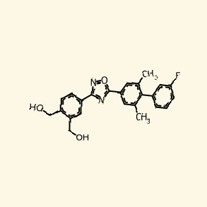 Cc1cc(-c2nc(-c3ccc(CO)c(CO)c3)no2)cc(C)c1-c1cccc(F)c1